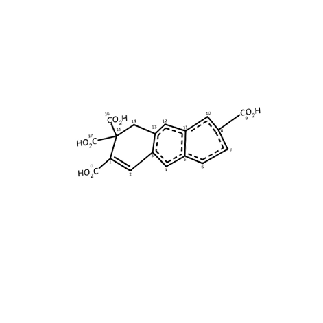 O=C(O)C1=Cc2cc3ccc(C(=O)O)cc3cc2CC1(C(=O)O)C(=O)O